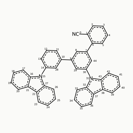 N#Cc1ccccc1-c1cc(-c2cccc(-n3c4ccccc4c4ccccc43)c2)cc(-n2c3ccccc3c3ccccc32)c1